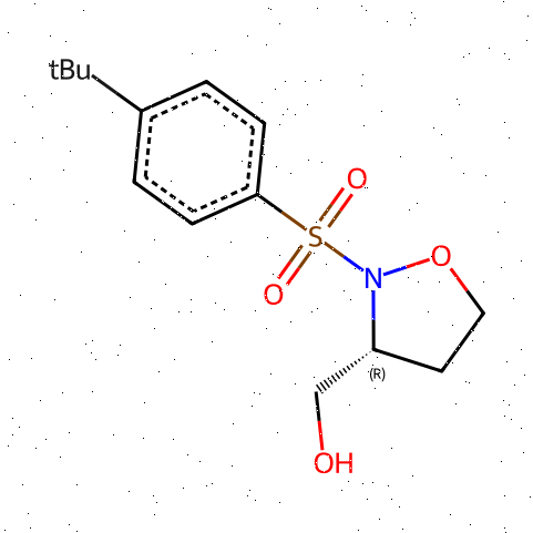 CC(C)(C)c1ccc(S(=O)(=O)N2OCC[C@@H]2CO)cc1